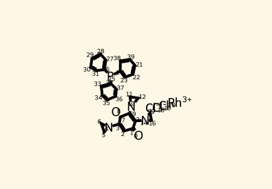 O=C1C=C(N2CC2)C(=O)C(N2CC2)=C1N1CC1.[Cl-].[Cl-].[Cl-].[Rh+3].c1ccc(P(c2ccccc2)c2ccccc2)cc1